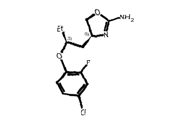 CC[C@@H](C[C@H]1COC(N)=N1)Oc1ccc(Cl)cc1F